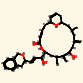 C=C1CC(C)CC2CC=CC(C/C=C\C(=O)OC(C(O)/C=C/C3Cc4ccccc4CO3)C[C@H](C)C(C)C(O)C1)O2